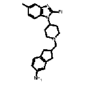 CCc1nc2cc(C)ccc2n1C1CCN(CC2Cc3ccc(N)cc3C2)CC1